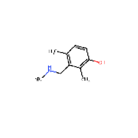 CCCCNCc1c(C)ccc(O)c1C